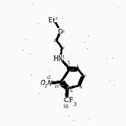 CCOCCNc1cccc(C(F)(F)F)c1[N+](=O)[O-]